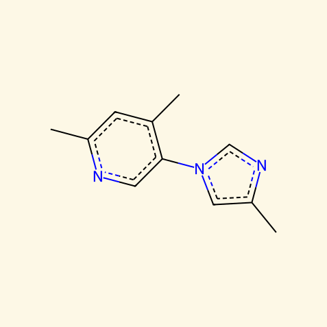 Cc1cc(C)c(-n2cnc(C)c2)cn1